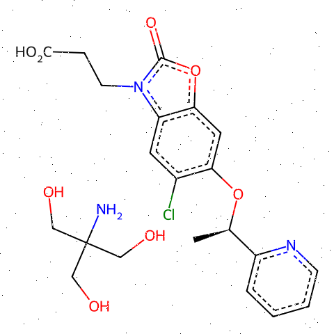 C[C@@H](Oc1cc2oc(=O)n(CCC(=O)O)c2cc1Cl)c1ccccn1.NC(CO)(CO)CO